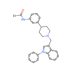 CCC(=O)Nc1cccc(C2CCN(Cc3cn(-c4ccccc4)c4ccccc34)CC2)c1